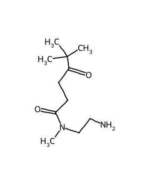 CN(CCN)C(=O)CCC(=O)C(C)(C)C